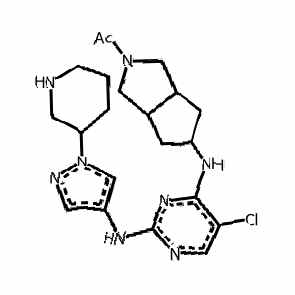 CC(=O)N1CC2CC(Nc3nc(Nc4cnn(C5CCCNC5)c4)ncc3Cl)CC2C1